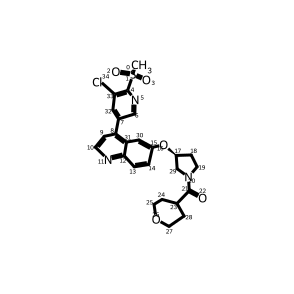 CS(=O)(=O)c1ncc(-c2ccnc3ccc(O[C@H]4CCN(C(=O)C5CCOCC5)C4)cc23)cc1Cl